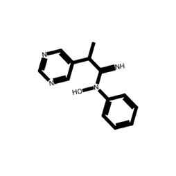 CC(C(=N)N(O)c1ccccc1)c1cncnc1